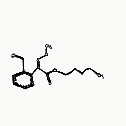 CCCCCOC(=O)C(=NOC)c1ccccc1CCl